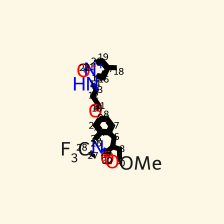 COC(=O)CC1Cc2ccc(OCCCNc3cc(C)cc[n+]3[O-])cc2CN(CC(F)(F)F)C1=O